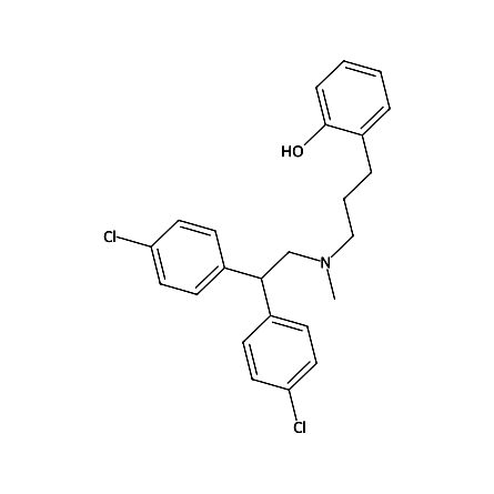 CN(CCCc1ccccc1O)CC(c1ccc(Cl)cc1)c1ccc(Cl)cc1